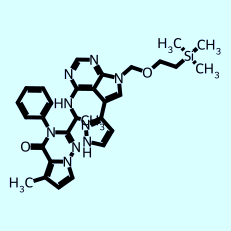 Cc1ccn2nc(C(C)Nc3ncnc4c3c(-c3cc[nH]n3)cn4COCC[Si](C)(C)C)n(-c3ccccc3)c(=O)c12